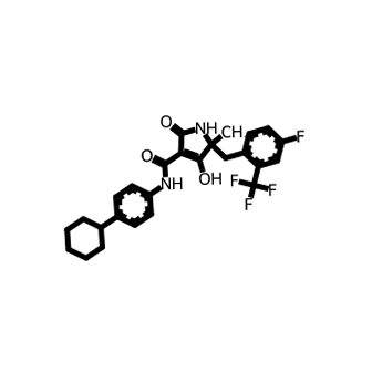 CC1(Cc2ccc(F)cc2C(F)(F)F)NC(=O)C(C(=O)Nc2ccc(C3CCCCC3)cc2)=C1O